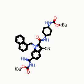 CC(C)(C)OC(=O)NC(=N)c1ccc2c(C#N)c(C(=O)NC3CCC(NC(=O)OC(C)(C)C)CC3)n(Cc3cccc4ccccc34)c2c1